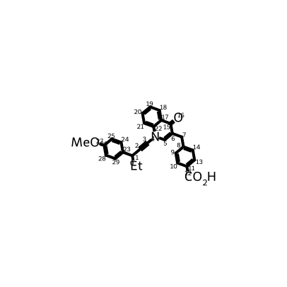 CCC(C#Cn1cc(Cc2ccc(C(=O)O)cc2)c(=O)c2ccccc21)c1ccc(OC)cc1